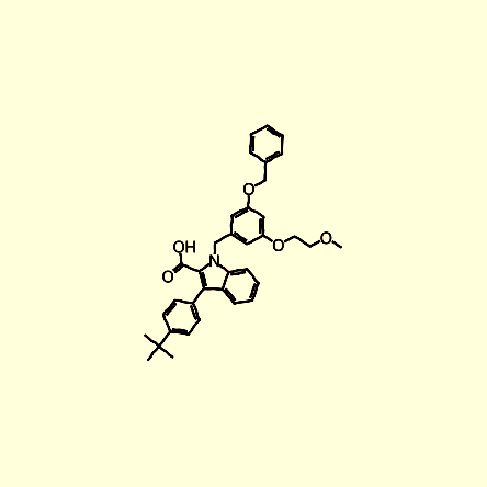 COCCOc1cc(Cn2c(C(=O)O)c(-c3ccc(C(C)(C)C)cc3)c3ccccc32)cc(OCc2ccccc2)c1